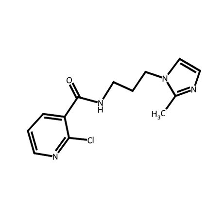 Cc1nccn1CCCNC(=O)c1cccnc1Cl